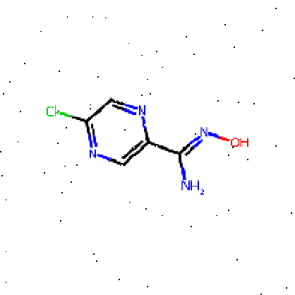 NC(=NO)c1cnc(Cl)cn1